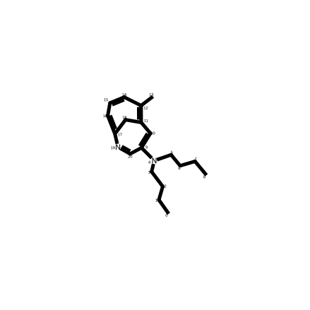 CCCCN(CCCC)C1=CC2=C(C)C=CC=C(C2)N=C1